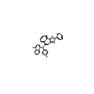 Cc1ccc(N(c2ccc(C)c3ccccc23)c2cc3nn(-c4ccccc4)nc3c3ccccc23)cc1